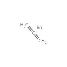 C=C=C.[Rn]